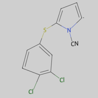 N#Cn1[c]ccc1Sc1ccc(Cl)c(Cl)c1